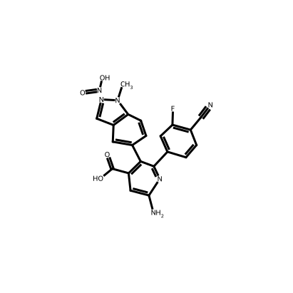 Cn1ncc2cc(-c3c(C(=O)O)cc(N)nc3-c3ccc(C#N)c(F)c3)ccc21.O=NO